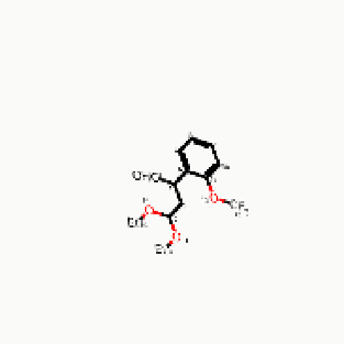 CCOC(CC(C=O)c1ccccc1OC(F)(F)F)OCC